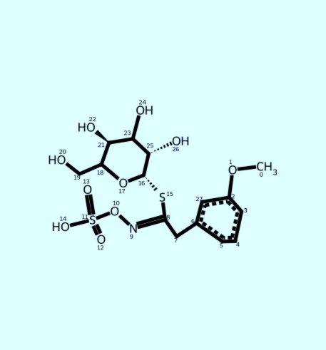 COc1cccc(C/C(=N/OS(=O)(=O)O)S[C@@H]2OC(CO)[C@@H](O)C(O)[C@@H]2O)c1